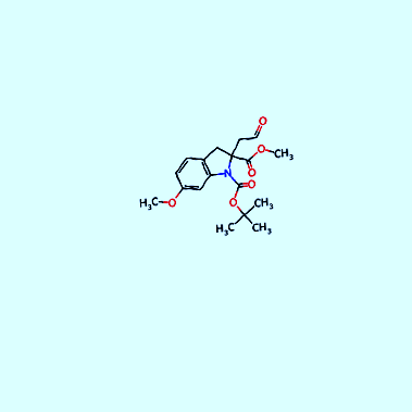 COC(=O)C1(CC=O)Cc2ccc(OC)cc2N1C(=O)OC(C)(C)C